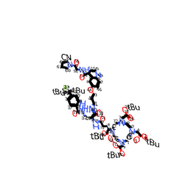 CC(C)(C)OC(=O)CN1CCN(CC(=O)OC(C)(C)C)CCN([C@H](CCC(=O)N[C@H](CNC(=O)c2ccc([Si](F)(C(C)(C)C)C(C)(C)C)cc2)C(=O)NCCCOc2ccc3nccc(C(=O)NCC(=O)N4CCC[C@H]4C#N)c3c2)C(=O)OC(C)(C)C)CCN(CC(=O)OC(C)(C)C)CC1